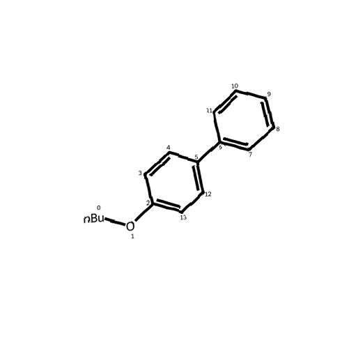 [CH2]CCCOc1ccc(-c2ccccc2)cc1